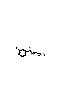 O=C/C=N/Nc1cccc(F)c1